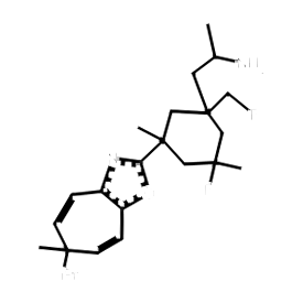 CC(N)CC1(CF)CC(C)(F)CC(C)(c2nc3c(o2)C=CC(C)(C(C)C)C=C3)C1